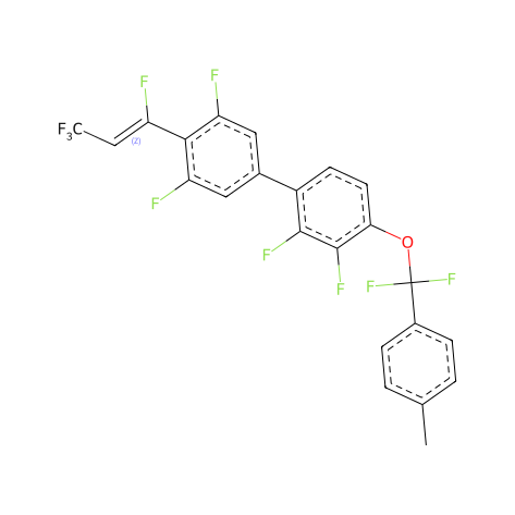 Cc1ccc(C(F)(F)Oc2ccc(-c3cc(F)c(/C(F)=C/C(F)(F)F)c(F)c3)c(F)c2F)cc1